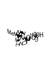 CNc1ncnc2c1ncn2[C@@H]1O[C@H](COP(=O)(O)O)C[C@H]1O